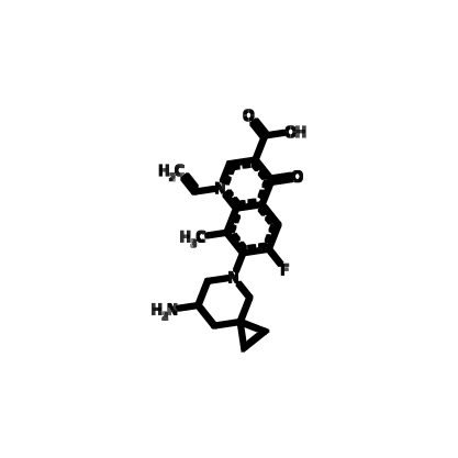 C=Cn1cc(C(=O)O)c(=O)c2cc(F)c(N3CC(N)CC4(CC4)C3)c(C)c21